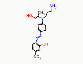 CC(CO)N(CCCN)c1ccc(/N=N/c2ccc([N+](=O)[O-])cc2O)cc1